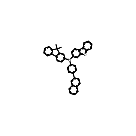 CC1(C)c2ccccc2-c2ccc(N(c3ccc(-c4ccc5ccccc5c4)cc3)c3ccc4c(c3)oc3ccccc34)cc21